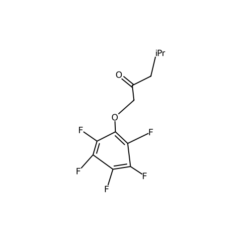 CC(C)CC(=O)COc1c(F)c(F)c(F)c(F)c1F